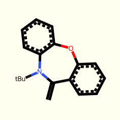 C=C1c2ccccc2Oc2ccccc2N1C(C)(C)C